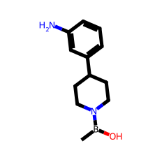 CB(O)N1CCC(c2cccc(N)c2)CC1